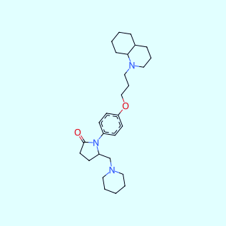 O=C1CCC(CN2CCCCC2)N1c1ccc(OCCCN2CCCC3CCCCC32)cc1